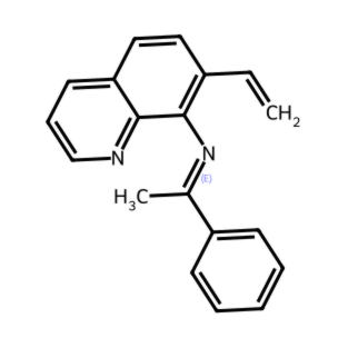 C=Cc1ccc2cccnc2c1/N=C(\C)c1ccccc1